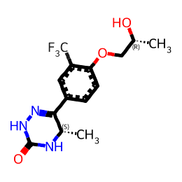 C[C@@H]1NC(=O)NN=C1c1ccc(OC[C@@H](C)O)c(C(F)(F)F)c1